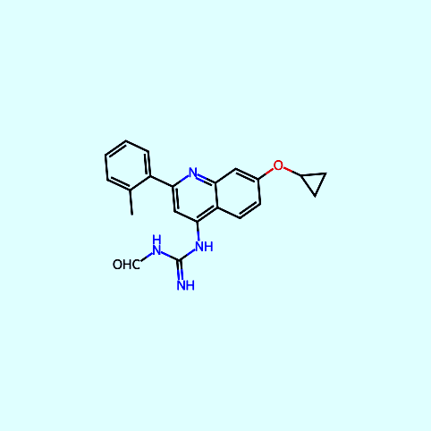 Cc1ccccc1-c1cc(NC(=N)NC=O)c2ccc(OC3CC3)cc2n1